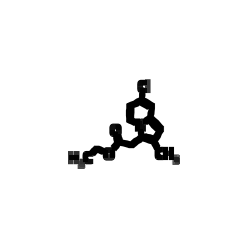 CCOC(=O)Cc1c(C)cc2cc(Cl)ccn12